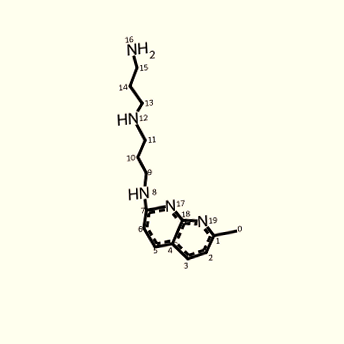 Cc1ccc2ccc(NCCCNCCCN)nc2n1